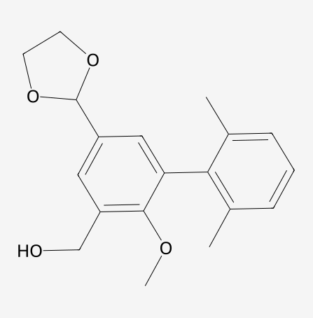 COc1c(CO)cc(C2OCCO2)cc1-c1c(C)cccc1C